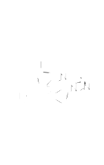 CCCSc1cccc2c1C(c1cccc(I)c1)=NCc1nncn1-2